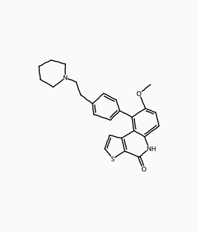 COc1ccc2[nH]c(=O)c3sccc3c2c1-c1ccc(CCN2CCCCC2)cc1